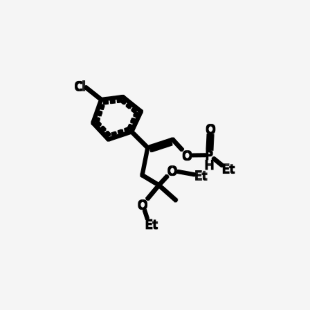 CCOC(C)(CC(=CO[PH](=O)CC)c1ccc(Cl)cc1)OCC